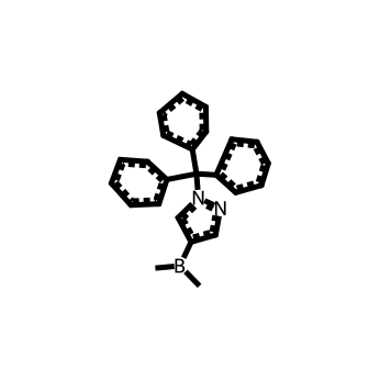 CB(C)c1cnn(C(c2ccccc2)(c2ccccc2)c2ccccc2)c1